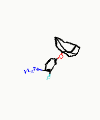 Nc1ccc(OC23CC4CC(CC(C4)C2)C3)cc1F